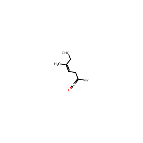 CC(=CCC(=C=O)C(C)C)CC=O